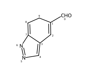 O=CC1=CC2=CN=NC2=CC1